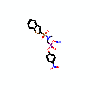 CN(CP(=O)(ON)Oc1ccc([N+](=O)[O-])cc1)S(=O)(=O)c1cc2ccccc2s1